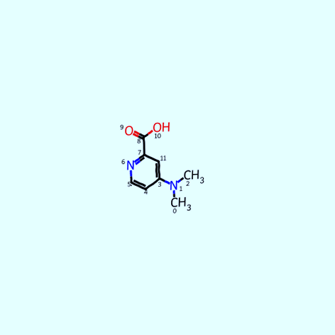 CN(C)c1c[c]nc(C(=O)O)c1